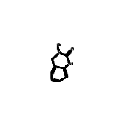 CC(C)(C)N1Cc2ccccc2NC1=O